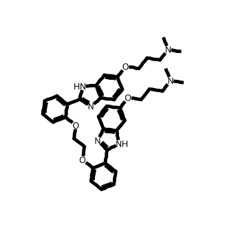 CN(C)CCCOc1ccc2nc(-c3ccccc3OCCOc3ccccc3-c3nc4ccc(OCCCN(C)C)cc4[nH]3)[nH]c2c1